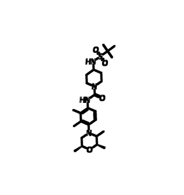 Cc1c(NC(=O)N2CCC(NS(=O)(=O)C(C)(C)C)CC2)ccc(N2C[C@H](C)O[C@H](C)C2C)c1C